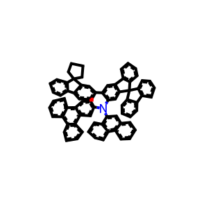 c1ccc2c(c1)-c1ccc(-c3cc4c(cc3N(c3ccc5c6ccccc6c6ccccc6c5c3)c3cc5ccccc5c5ccccc35)C3(c5ccccc5-c5ccccc53)c3ccccc3-4)cc1C21CCCC1